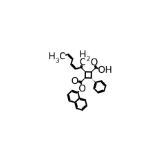 C=C(/C=C\C=C/C)[C@H]1[C@@H](C(=O)O)[C@H](c2ccccc2)[C@H]1C(=O)Oc1cccc2ccccc12